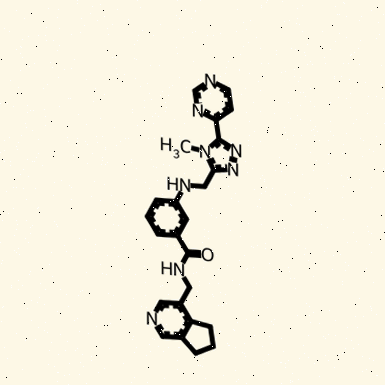 Cn1c(CNc2cccc(C(=O)NCc3cncc4c3CCC4)c2)nnc1-c1ccncn1